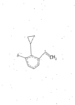 C=[C]c1cccc(I)c1C1CC1